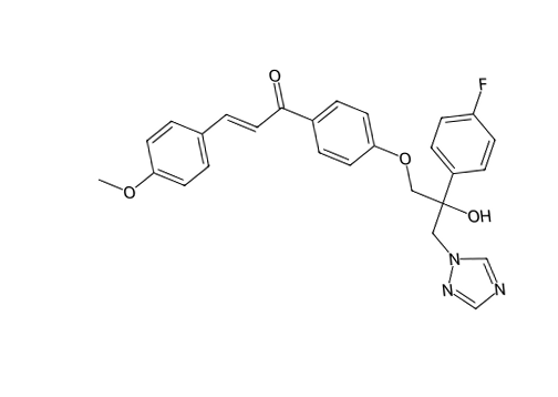 COc1ccc(C=CC(=O)c2ccc(OCC(O)(Cn3cncn3)c3ccc(F)cc3)cc2)cc1